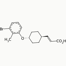 Cc1c(Br)cccc1O[C@H]1CC[C@H](/C=C/C(=O)O)CC1